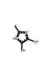 CCCc1nc(C)[nH]c1CCC